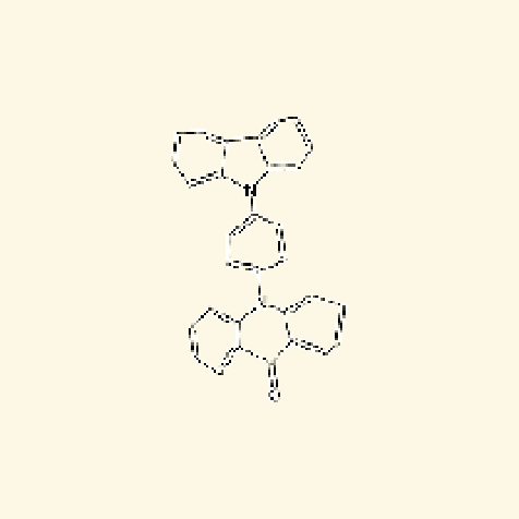 O=c1c2ccccc2n(-c2ccc(-n3c4ccccc4c4ccccc43)cc2)c2ccccc12